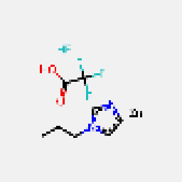 CCCn1ccnc1.F.O=C(O)C(F)(F)F.[Zn]